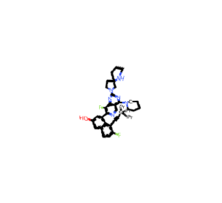 CC(C)[Si](C#Cc1c(F)ccc2cc(O)cc(-c3ncc4c(N5CCCCC5)nc(N5CCC6(CCCN6)C5)nc4c3F)c12)(C(C)C)C(C)C